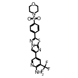 Nc1ncc(-c2cn3nc(-c4ccc(S(=O)(=O)N5CCOCC5)cc4)sc3n2)cc1C(F)(F)F